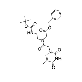 Cc1cn(CC(=O)N(CCNC(=O)OC(C)(C)C)CC(=O)OCc2ccccc2)c(=O)[nH]c1=O